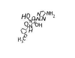 COc1cccc(C(=O)NC2[C@@H](CO)O[C@@H](n3cnc4c(N)ccnc43)[C@H]2O)c1